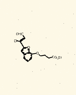 CCOC(=O)CCCOc1cccc2cc(C(Cl)=CC=O)oc12